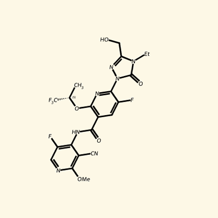 CCn1c(CO)nn(-c2nc(O[C@@H](C)C(F)(F)F)c(C(=O)Nc3c(F)cnc(OC)c3C#N)cc2F)c1=O